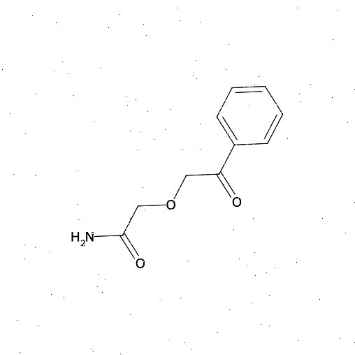 NC(=O)COCC(=O)c1ccccc1